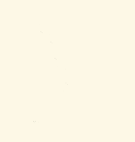 COc1ccc(CC(=O)N2CCCC(Oc3ccc(C(F)(F)F)cc3)(C(=O)N3CCN(c4ccccn4)CC3)C2)cc1